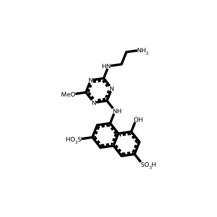 COc1nc(NCCN)nc(Nc2cc(S(=O)(=O)O)cc3cc(S(=O)(=O)O)cc(O)c23)n1